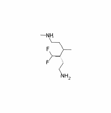 CNCCC(C)[C@H](CCN)C(F)F